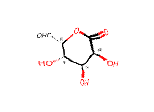 O=C[C@@H]1OC(=O)[C@@H](O)[C@@H](O)[C@@H]1O